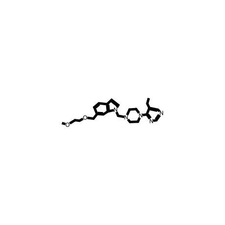 CCc1cncnc1N1CCN(Cn2ccc3ccc(COCCOC)cc32)CC1